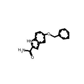 NC(=O)c1cc2cc(OCc3ccccc3)ccc2[nH]1